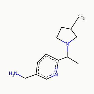 CC(c1ccc(CN)cn1)N1CCC(C(F)(F)F)C1